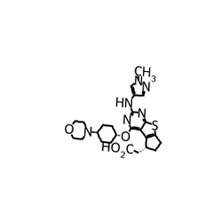 Cn1cc(Nc2nc(O[C@H]3CC[C@H](N4CCOCC4)CC3)c3c4c(sc3n2)CC[C@@H]4CC(=O)O)cn1